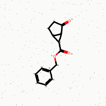 O=C1CCC2C1C2C(=O)OCc1ccccc1